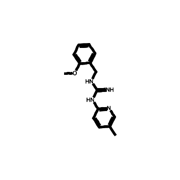 COc1ccccc1CNC(=N)Nc1ccc(C)cn1